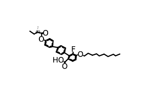 CCCCCCCCCCOc1ccc(C(=O)O)c(-c2ccc(-c3ccc(OC(=O)[C@@H](C)CC)cc3)cc2)c1F